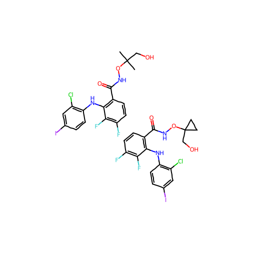 CC(C)(CO)ONC(=O)c1ccc(F)c(F)c1Nc1ccc(I)cc1Cl.O=C(NOC1(CO)CC1)c1ccc(F)c(F)c1Nc1ccc(I)cc1Cl